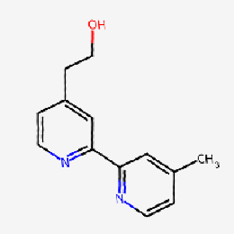 Cc1ccnc(-c2cc(CCO)ccn2)c1